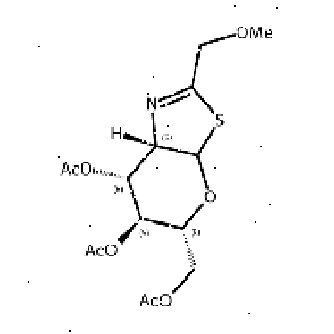 COCC1=N[C@@H]2C(O[C@H](COC(C)=O)[C@@H](OC(C)=O)[C@@H]2OC(C)=O)S1